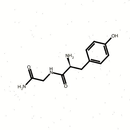 NC(=O)CNC(=O)[C@@H](N)Cc1ccc(O)cc1